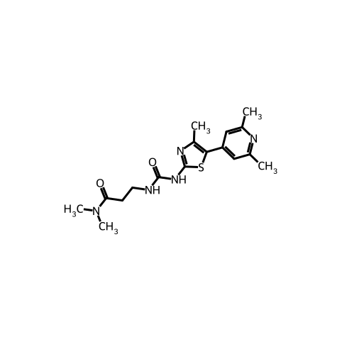 Cc1cc(-c2sc(NC(=O)NCCC(=O)N(C)C)nc2C)cc(C)n1